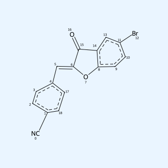 N#Cc1ccc(/C=C2\Oc3ccc(Br)cc3C2=O)cc1